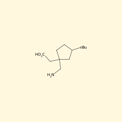 CCCCC1CCC(CN)(CC(=O)O)C1